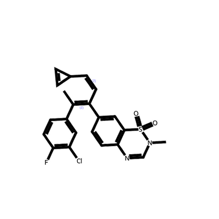 C/C(=C(\C=C/C1C=C1)c1ccc2c(c1)S(=O)(=O)N(C)C=N2)c1ccc(F)c(Cl)c1